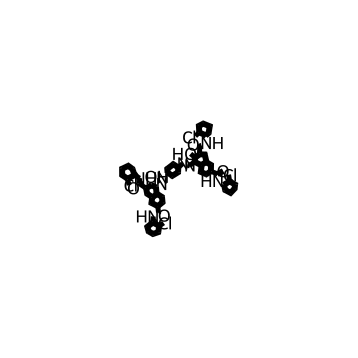 O=C(Nc1ccccc1Cl)c1ccc2c(N=Nc3ccc(N=Nc4c(O)c(C(=O)Nc5ccccc5Cl)cc5cc(C(=O)Nc6ccccc6Cl)ccc45)cc3)c(O)c(C(=O)Nc3ccccc3Cl)cc2c1